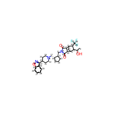 CC(O)C1C2CC(C3C(=O)N(C[C@H]4CCC[C@@H]4CN4CCC(c5noc6ccccc56)CC4)C(=O)C23)C1C(F)(F)F